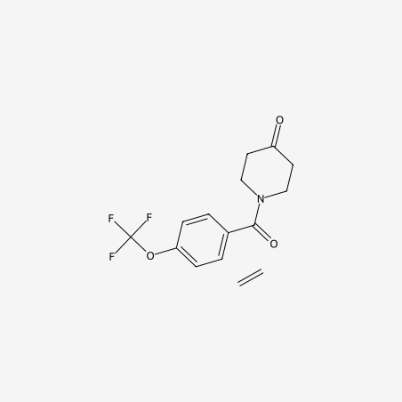 C=C.O=C1CCN(C(=O)c2ccc(OC(F)(F)F)cc2)CC1